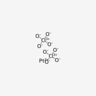 [O-][Cl+3]([O-])([O-])[O-].[O-][Cl+3]([O-])([O-])[O-].[Pt+2]